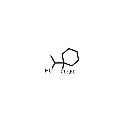 CCOC(=O)C1(C(C)O)CCCCC1